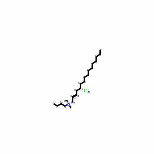 CCCCCCCCCCCCC/C=C/C[N+](C)(C)CCCC.[Cl-]